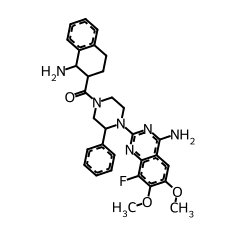 COc1cc2c(N)nc(N3CCN(C(=O)C4CCc5ccccc5C4N)CC3c3ccccc3)nc2c(F)c1OC